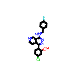 Oc1cc(Cl)ccc1-c1nnc(NCc2ccc(F)cc2)c2cnccc12